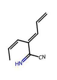 C=C/C=C(\C=C/C)C(=N)C#N